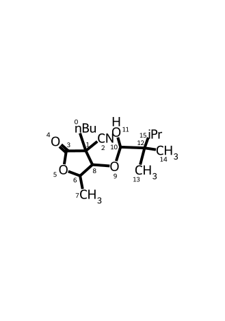 CCCCC1(C#N)C(=O)OC(C)C1OC(O)C(C)(C)C(C)C